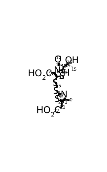 Cc1nc(SCSC2=C(C(=O)O)N3C(=O)[C@H]([C@@H](C)O)[C@H]3S2)sc1CC(=O)O